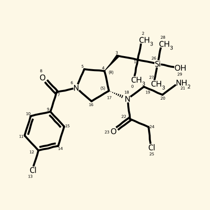 CC(C)(C[C@@H]1CN(C(=O)c2ccc(Cl)cc2)C[C@H]1N(CCN)C(=O)CCl)[Si](C)(C)O